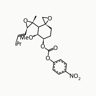 CO[C@H]1C([C@@]2(C)O[C@@H]2/C=C/C(C)C)[C@]2(CC[C@H]1OC(=O)Oc1ccc([N+](=O)[O-])cc1)CO2